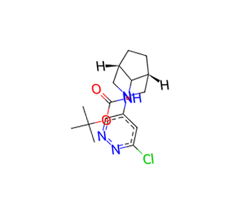 CC(C)(C)OC(=O)NC1[C@@H]2CC[C@H]1CN(c1cnnc(Cl)c1)C2